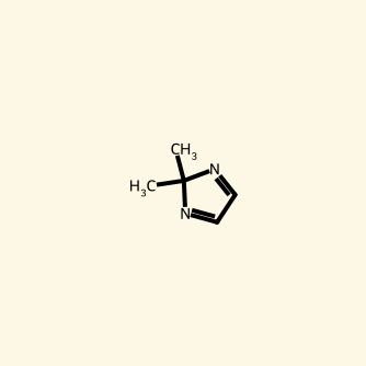 CC1(C)N=CC=N1